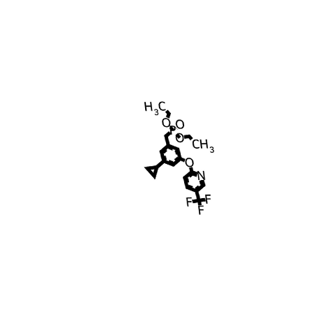 CCOP(=O)(Cc1cc(Oc2ccc(C(F)(F)F)cn2)cc(C2CC2)c1)OCC